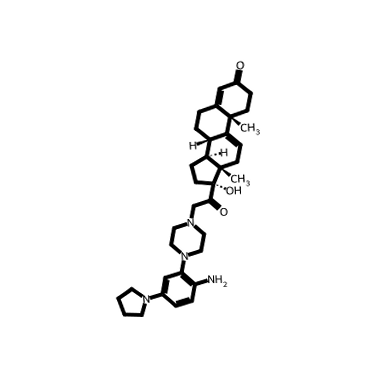 C[C@]12CCC(=O)C=C1CC[C@@H]1C2=CC[C@@]2(C)[C@H]1CC[C@]2(O)C(=O)CN1CCN(c2cc(N3CCCC3)ccc2N)CC1